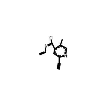 C#Cc1cc(/C(Cl)=N\C=C)c(C)cn1